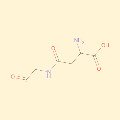 NC(CC(=O)NC[C]=O)C(=O)O